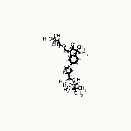 CC(O[Si](C)(C)C(C)(C)C)c1cn(-c2ccc3c(c2)N(COCC[Si](C)(C)C)C(=O)C3(C)C)cn1